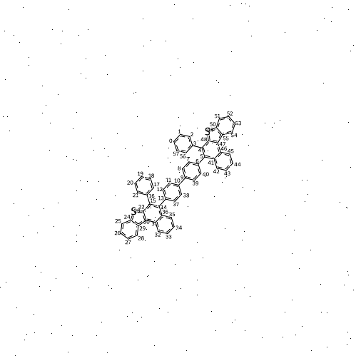 c1ccc(-c2c(-c3ccc(-c4ccc(-c5c(-c6ccccc6)c6sc7ccccc7c6c6ccccc56)cc4)cc3)c3ccccc3c3c2sc2ccccc23)cc1